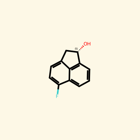 O[C@H]1Cc2ccc(F)c3cccc1c23